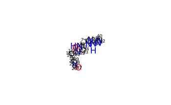 C=N/C(=N\C(=C(C)C)c1c[nH]c2c(N3Cc4c(cccc4C4=CCN(C(C)=O)CC4)C3=O)cccc12)Nc1cc(C)n(C)n1